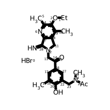 Br.CCOc1c(C)nc2c(c1C)CN(CC(=O)c1cc(C)c(O)c(CN(C)C(C)=O)c1)C2=N